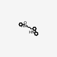 O=C(NCCCCc1cccc2c1[nH]c1ccccc12)c1ccccc1